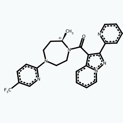 C[C@@H]1CCN(c2ccc(C(F)(F)F)cn2)CCN1C(=O)c1c(-c2ccccn2)nn2ccccc12